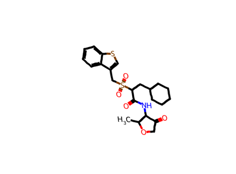 CC1OCC(=O)C1NC(=O)C(CC1CCCCC1)S(=O)(=O)Cc1csc2ccccc12